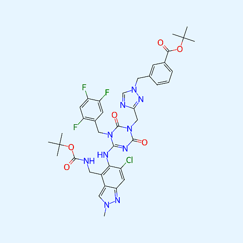 Cn1cc2c(CNC(=O)OC(C)(C)C)c(Nc3nc(=O)n(Cc4ncn(Cc5cccc(C(=O)OC(C)(C)C)c5)n4)c(=O)n3Cc3cc(F)c(F)cc3F)c(Cl)cc2n1